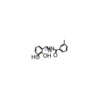 Cc1cccc(C(=O)N/N=C/c2cccc(O)c2O)c1